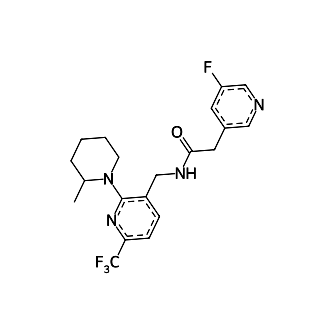 CC1CCCCN1c1nc(C(F)(F)F)ccc1CNC(=O)Cc1cncc(F)c1